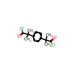 CC(C)(C(=O)Cl)c1ccc(C(C)(C)C(=O)Cl)cc1